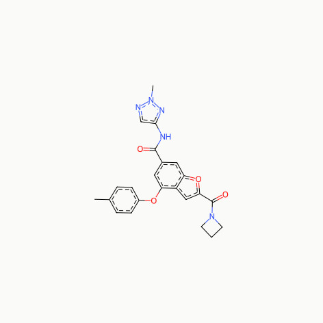 Cc1ccc(Oc2cc(C(=O)Nc3cnn(C)n3)cc3oc(C(=O)N4CCC4)cc23)cc1